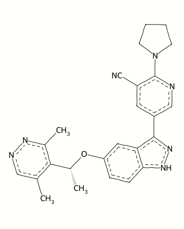 Cc1cnnc(C)c1[C@@H](C)Oc1ccc2[nH]nc(-c3cnc(N4CCCC4)c(C#N)c3)c2c1